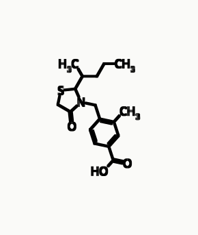 CCCC(C)C1SCC(=O)N1Cc1ccc(C(=O)O)cc1C